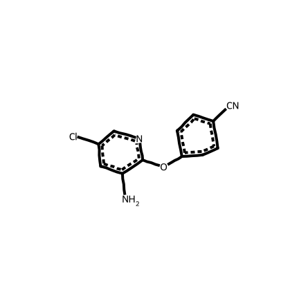 N#Cc1ccc(Oc2ncc(Cl)cc2N)cc1